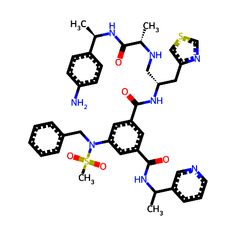 CC(NC(=O)c1cc(C(=O)N[C@H](CN[C@@H](C)C(=O)N[C@H](C)c2ccc(N)cc2)Cc2cscn2)cc(N(Cc2ccccc2)S(C)(=O)=O)c1)c1cccnc1